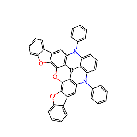 c1ccc(N2c3cccc4c3B3c5c2cc2c(oc6ccccc62)c5Oc2c3c(cc3c2oc2ccccc23)N4c2ccccc2)cc1